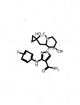 CC1(CC2[C@@H](n3cc(C(N)=O)c(Nc4ccc(F)cc4)n3)[C@H](C#N)CCN2C(=O)O)CC1